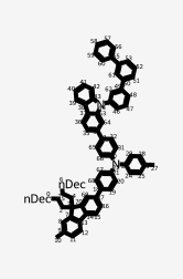 CCCCCCCCCCCCC1(CCCCCCCCCCCC)c2cc(C)ccc2-c2ccc(-c3ccc(N(c4ccc(C)cc4)c4ccc(-c5ccc6c7ccccc7n(-c7cccc(-c8cccc(-c9ccccc9)c8)c7)c6c5)cc4)cc3)cc21